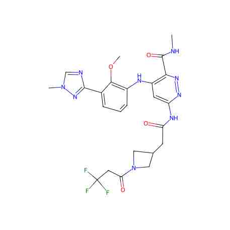 CNC(=O)c1nnc(NC(=O)CC2CN(C(=O)CC(F)(F)F)C2)cc1Nc1cccc(-c2ncn(C)n2)c1OC